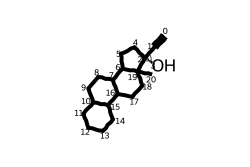 C#C[C@]1(O)CCC2C3CCC4CCCCC4C3CCC21C